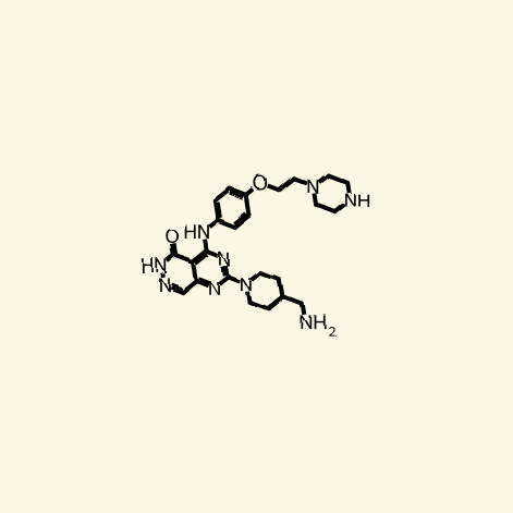 NCC1CCN(c2nc(Nc3ccc(OCCN4CCNCC4)cc3)c3c(=O)[nH]ncc3n2)CC1